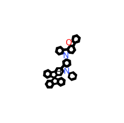 C1=CC[C@@H](n2c3c(c4cc(-n5c6ccccc6c6c7oc8ccccc8c7ccc65)ccc42)C=C2c4ccccc4C4(c5ccccc5-c5ccccc54)[C@@H]2C3)C=C1